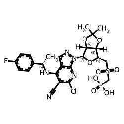 C[C@H](Nc1c(C#N)c(Cl)nc2c1cnn2[C@@H]1O[C@H](CS(=O)(=O)CP(=O)(O)O)[C@H]2OC(C)(C)O[C@H]21)c1ccc(F)cc1